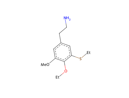 CCOc1c(OC)cc(CCN)cc1SCC